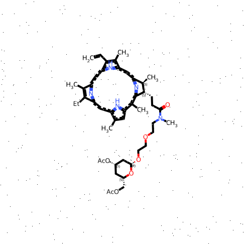 C=Cc1c(C)c2cc3nc(c(C)c4cc(C)c(cc5nc(cc1[nH]2)C(C)=C5CC)[nH]4)[C@@H](CCC(=O)N(C)CCOCCO[C@H]1C[C@@H](OC(C)=O)C[C@@H](COC(C)=O)O1)[C@@H]3C